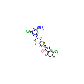 Nc1cc(N2CCc3nc(NC(=O)c4cccc(Cl)c4)sc3C2)nc(Cl)n1